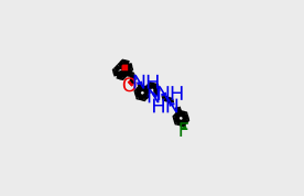 O=C(CC12CC3CC(CC(C3)C1)C2)Nc1cccc2nc(NCCNCc3ccc(F)cc3)ccc12